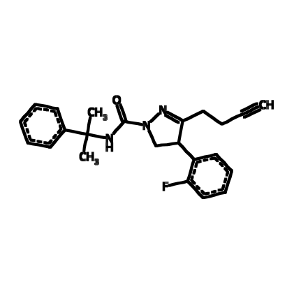 C#CCCC1=NN(C(=O)NC(C)(C)c2ccccc2)CC1c1ccccc1F